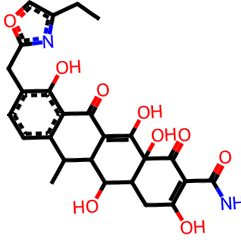 CCc1coc(Cc2ccc3c(c2O)C(=O)C2=C(O)C4(O)C(=O)C(C(N)=O)=C(O)CC4C(O)C2C3C)n1